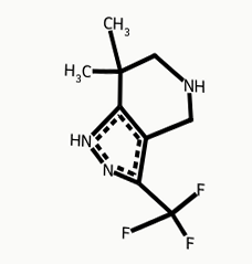 CC1(C)CNCc2c(C(F)(F)F)n[nH]c21